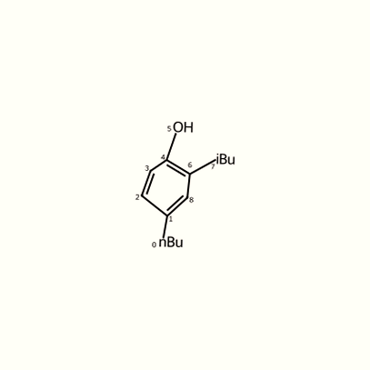 CCCCc1ccc(O)c(C(C)CC)c1